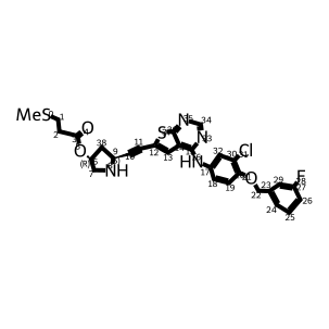 CSCCC(=O)O[C@H]1CN[C@H](C#Cc2cc3c(Nc4ccc(OCc5cccc(F)c5)c(Cl)c4)ncnc3s2)C1